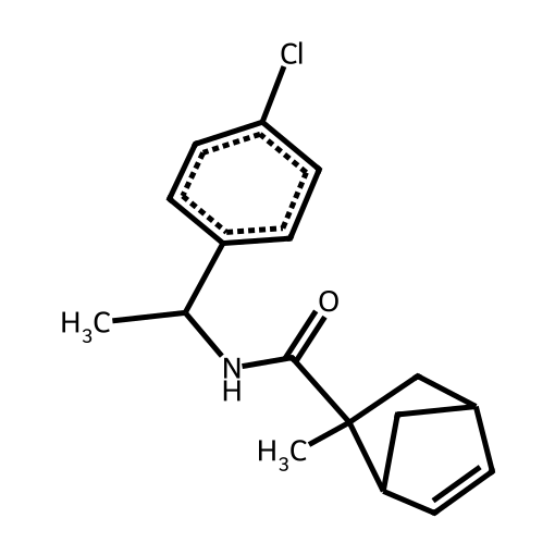 CC(NC(=O)C1(C)CC2C=CC1C2)c1ccc(Cl)cc1